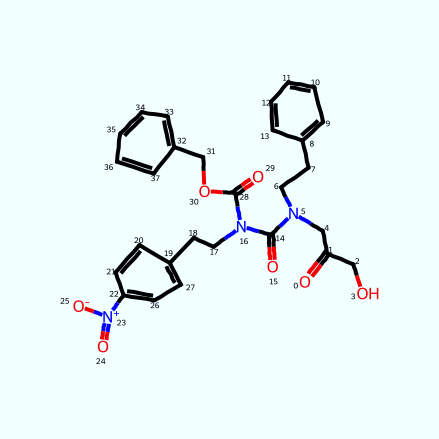 O=C(CO)CN(CCc1ccccc1)C(=O)N(CCc1ccc([N+](=O)[O-])cc1)C(=O)OCc1ccccc1